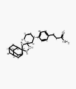 NC(=O)CCc1ccc([C@@H]2CCC[C@]3(C2)OOC2(O3)C3CC4CC(C3)CC2C4)cc1